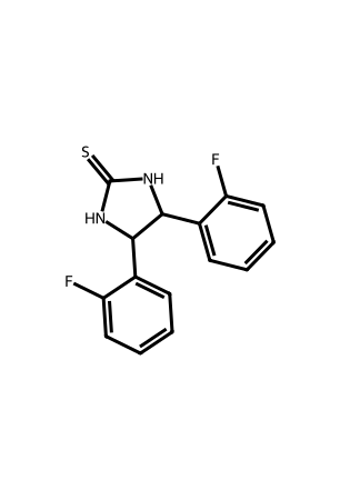 Fc1ccccc1C1NC(=S)NC1c1ccccc1F